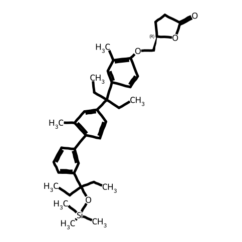 CCC(CC)(O[Si](C)(C)C)c1cccc(-c2ccc(C(CC)(CC)c3ccc(OC[C@H]4CCC(=O)O4)c(C)c3)cc2C)c1